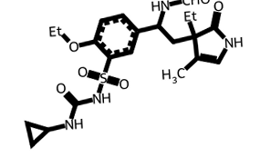 CCOc1ccc(C(CC2(CC)C(=O)NC=C2C)NC=O)cc1S(=O)(=O)NC(=O)NC1CC1